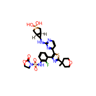 CC1(c2nc(-c3cccc(NS(=O)(=O)N4CCOC4=O)c3F)c(-c3ccnc(NC4[C@H]5CS(O)(O)C[C@@H]45)n3)s2)CCOCC1